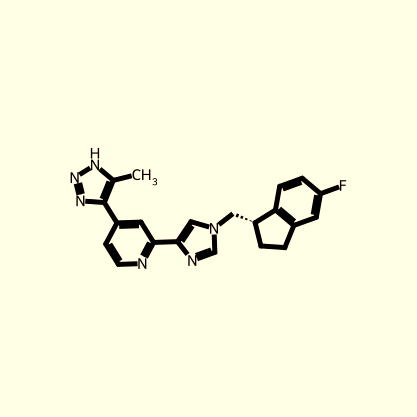 Cc1[nH]nnc1-c1ccnc(-c2cn(C[C@H]3CCc4cc(F)ccc43)cn2)c1